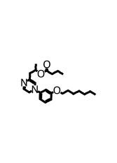 CCCCCCCOc1cccc(N2C=C(CC(C)OC(=O)CCC)N=CC2)c1